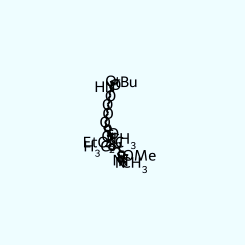 CCOC(=O)CC(c1ccc(C)c(CN(C)S(=O)(=O)c2ccc(OCCOCCOCCOCCNC(=O)OC(C)(C)C)cc2)c1)c1cc(OC)c2c(c1)nnn2C